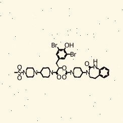 CS(=O)(=O)N1CCN(C2CCN(C(=O)[C@@H](Cc3cc(Br)c(O)c(Br)c3)OC(=O)N3CCC(N4CCc5ccccc5NC4=O)CC3)CC2)CC1